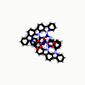 c1ccc(C2=NC(n3c4ccccc4c4ccc5c6ccc7c8ccccc8n(-c8ccccc8)c7c6n(-c6ccccc6)c5c43)=NC(n3c4ccccc4c4ccc5c6ccc7c8ccccc8n(-c8ccccc8)c7c6n(-c6ccccc6)c5c43)N2)cc1